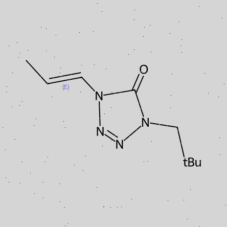 C/C=C/n1nnn(CC(C)(C)C)c1=O